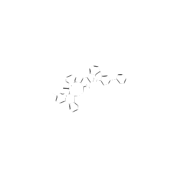 C=C1C2C(CCc3nc4c(cc3-c3cccc[n+]31)c1cccc3c5cc(-c6ccccc6)ccc5n4c31)c1ccccc1-c1ccc(C)c[n+]12